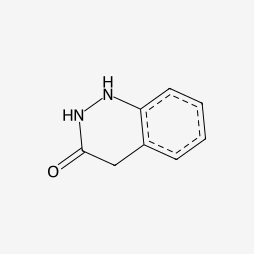 O=C1Cc2ccccc2NN1